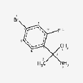 CC(C)(N)c1ccc(Br)cc1F